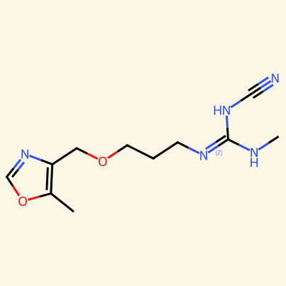 CN/C(=N/CCCOCc1ncoc1C)NC#N